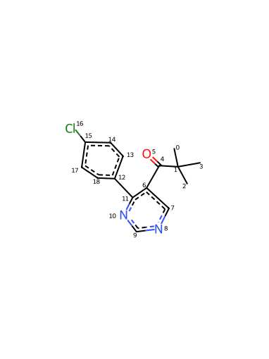 CC(C)(C)C(=O)c1cncnc1-c1ccc(Cl)cc1